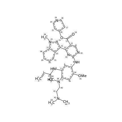 C=CC(=O)Nc1cc(Nc2ncc(C(=O)Oc3ccncc3)c(-c3cn(C)c4ccccc34)n2)c(OC)cc1N(C)CCN(C)C